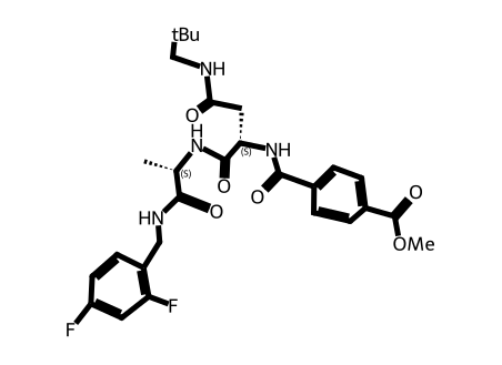 COC(=O)c1ccc(C(=O)N[C@@H](CC(=O)NCC(C)(C)C)C(=O)N[C@@H](C)C(=O)NCc2ccc(F)cc2F)cc1